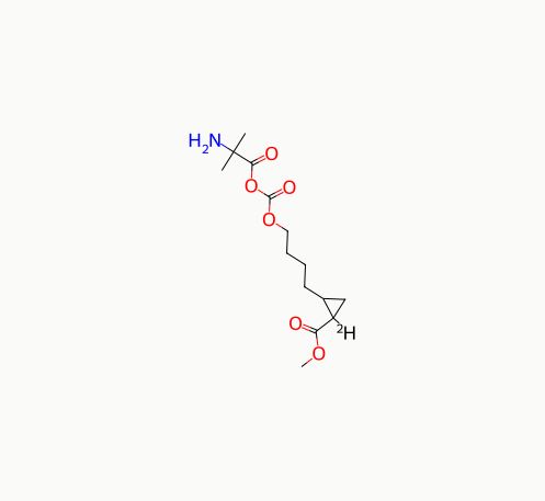 [2H]C1(C(=O)OC)CC1CCCCOC(=O)OC(=O)C(C)(C)N